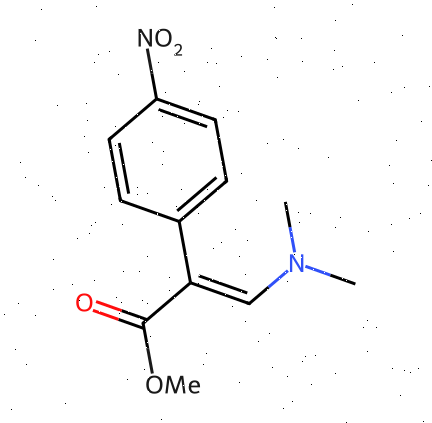 COC(=O)/C(=C/N(C)C)c1ccc([N+](=O)[O-])cc1